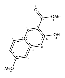 COC(=O)c1cc2ccc(OC)cc2cc1O